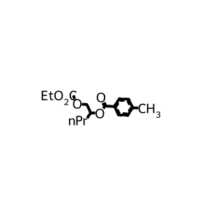 CCCC(COC(=O)OCC)OC(=O)c1ccc(C)cc1